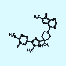 COc1ncc(-c2nc(C3(C)CCN(c4ncnc5[nH]c(C)cc45)CC3)[nH]c2C)cc1F